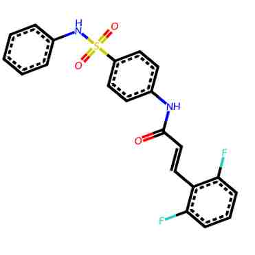 O=C(C=Cc1c(F)cccc1F)Nc1ccc(S(=O)(=O)Nc2ccccc2)cc1